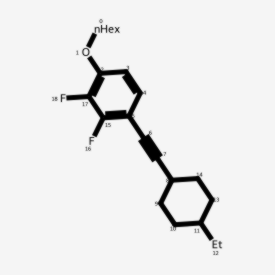 CCCCCCOc1ccc(C#CC2CCC(CC)CC2)c(F)c1F